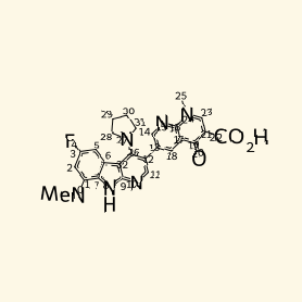 CNc1cc(F)cc2c1[nH]c1ncc(-c3cnc4c(c3)c(=O)c(C(=O)O)cn4C)c(N3CCCC3)c12